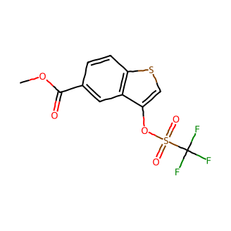 COC(=O)c1ccc2scc(OS(=O)(=O)C(F)(F)F)c2c1